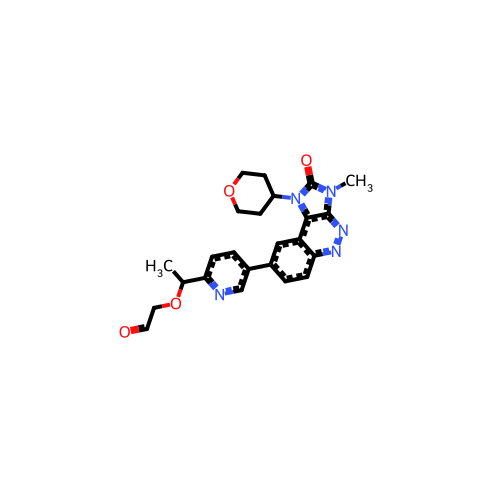 CC(OCC=O)c1ccc(-c2ccc3nnc4c(c3c2)n(C2CCOCC2)c(=O)n4C)cn1